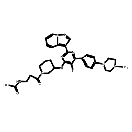 CN1CCN(c2ccc(-c3nc(-c4cnn5ccccc45)nc(NC4CCCN(C(=O)CCNC(=O)O)C4)c3F)cc2)CC1